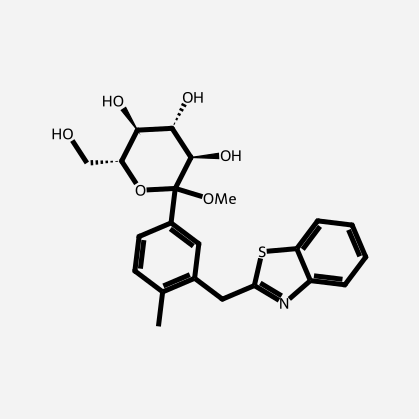 COC1(c2ccc(C)c(Cc3nc4ccccc4s3)c2)O[C@H](CO)[C@@H](O)[C@H](O)[C@H]1O